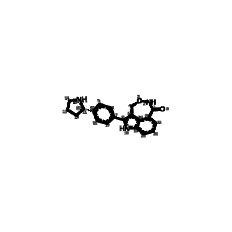 O=C1NOCc2c(-c3ccc([C@@H]4CCCN4)cc3)[nH]c3cccc1c23